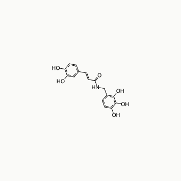 O=C(C=Cc1ccc(O)c(O)c1)NCc1ccc(O)c(O)c1O